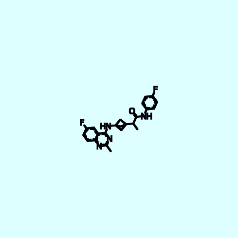 Cc1nc(NC23CC(C(C)C(=O)Nc4ccc(F)cc4)(C2)C3)c2cc(F)ccc2n1